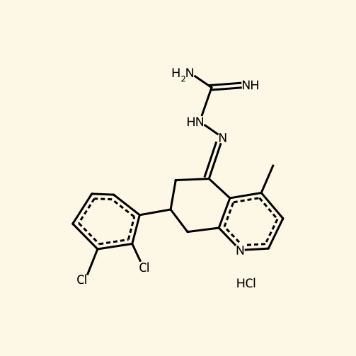 Cc1ccnc2c1C(=NNC(=N)N)CC(c1cccc(Cl)c1Cl)C2.Cl